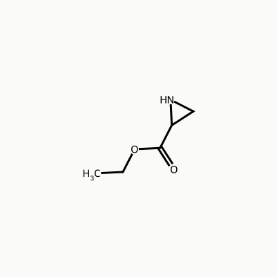 CCOC(=O)C1CN1